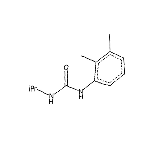 Cc1cccc(NC(=O)NC(C)C)c1C